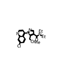 CCN(CC)C(=O)c1cnn(-c2ccnc3cc(Cl)ccc23)c1COC